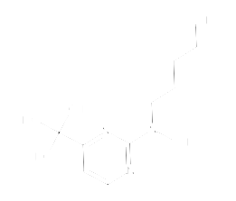 CCCCCN(C)c1nccc(C(C)(C)O)n1